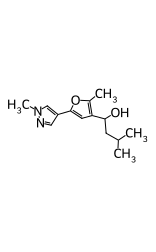 Cc1oc(-c2cnn(C)c2)cc1C(O)CC(C)C